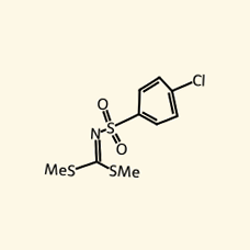 CSC(=NS(=O)(=O)c1ccc(Cl)cc1)SC